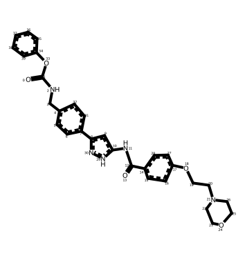 O=C(NCc1ccc(-c2cc(NC(=O)c3ccc(OCCN4CCOCC4)cc3)[nH]n2)cc1)Oc1ccccc1